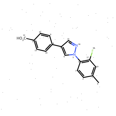 Cc1ccc(-n2cc(-c3ccc(C(=O)O)cc3)cn2)c(F)c1